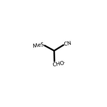 CSC([C]=O)C#N